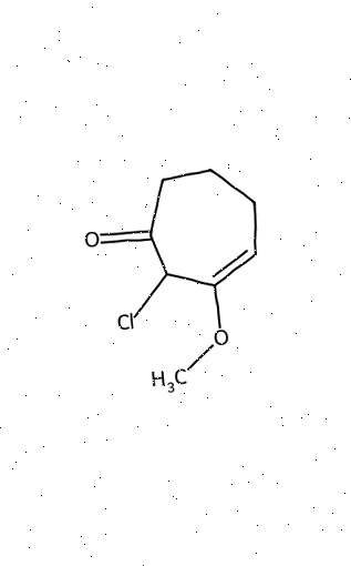 COC1=CCCCC(=O)C1Cl